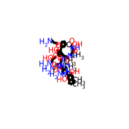 Cc1nc(-c2c(O)cc3c(c2O)CCC3(C)C)nc(N)c1C(=O)N[C@@H](CNS(N)(=O)=O)C(=O)N(C)[C@@H]1C(=O)N[C@@H](C)C(=O)N[C@H](C(=O)O)Cc2ccc(OCCCN)c(c2)-c2cc1cc(OC[C@H](O)CN)c2O